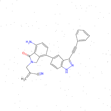 C=C(C#N)CN1Cc2c(-c3ccc4[nH]nc(C#Cc5ccccc5)c4c3)ccc(N)c2C1=O